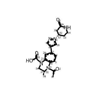 CC(=O)N1c2ccc(-c3cnn([C@H]4CCNC(=O)C4)c3)cc2N(C(=O)O)C[C@@H]1C